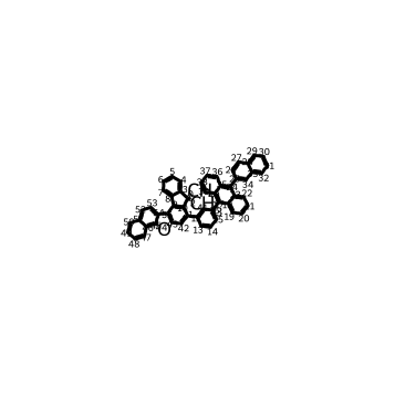 CC1(C)c2ccccc2-c2c1c(-c1cccc(-c3c4ccccc4c(-c4ccc5ccccc5c4)c4ccccc34)c1)cc1oc3c4ccccc4ccc3c21